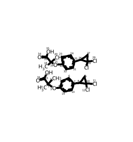 CC(C)(Oc1ccc(C2CC2(Cl)Cl)cc1)C(=O)O.CC(C)(Oc1ccc(C2CC2(Cl)Cl)cc1)C(=O)O